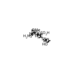 CO/N=C(\C(=O)N[C@@H]1C(=O)N2C(OC(=O)O)=C(CSc3nc4nc(C)cc(O)n4n3)CS[C@H]12)c1csc(N)n1